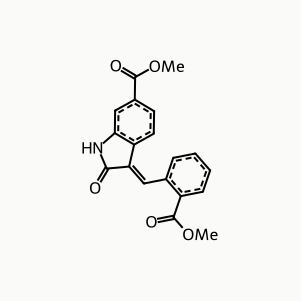 COC(=O)c1ccc2c(c1)NC(=O)/C2=C/c1ccccc1C(=O)OC